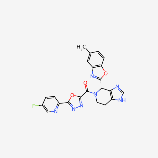 Cc1ccc2oc([C@@H]3c4nc[nH]c4CCN3C(=O)c3nnc(-c4ccc(F)cn4)o3)nc2c1